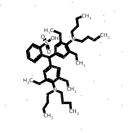 CCCCN(CCCC)c1c(CC)cc(C(c2cc(CC)c(N(CCCC)CCCC)c(CC)c2)c2ccccc2S(=O)(=O)O)cc1CC